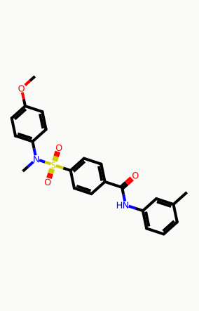 COc1ccc(N(C)S(=O)(=O)c2ccc(C(=O)Nc3cccc(C)c3)cc2)cc1